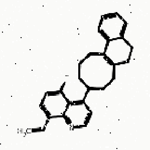 C=Cc1ccc(F)c2c(C3CCCC4=C(CCc5ccccc54)CC3)ccnc12